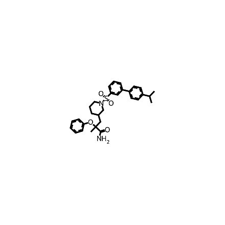 CC(C)c1ccc(-c2cccc(S(=O)(=O)N3CCCC(CC(C)(Oc4ccccc4)C(N)=O)C3)c2)cc1